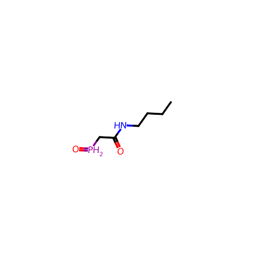 CCCCNC(=O)C[PH2]=O